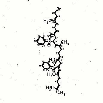 CC(C)=CCC/C(C)=C/C(C/C(C)=C/CC/C(C)=C/C(C/C(C)=C/CC/C(C)=C/CBr)S(=O)(=O)c1ccccc1)S(=O)(=O)c1ccccc1